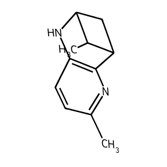 Cc1ccc2c(n1)C1CC(N2)C1C